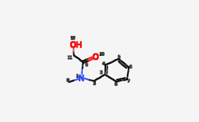 CN(Cc1ccccc1)C(=O)CO